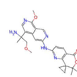 COCC(C)(N)c1cnc(OC)c2cnc(Nc3ccc4c(n3)C3(CC3)C(C)(C)OC4=O)cc12